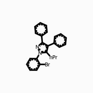 CCCc1c(-c2ccccc2)c(-c2ccccc2)nn1-c1ccccc1Br